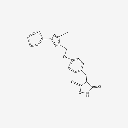 Cc1oc(-c2ccccc2)nc1COc1ccc(CC2C(=O)NOC2=O)cc1